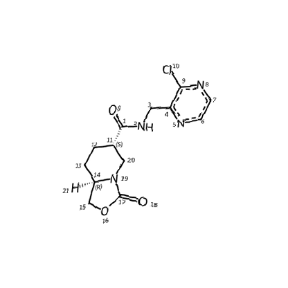 O=C(NCc1nccnc1Cl)[C@H]1CC[C@@H]2COC(=O)N2C1